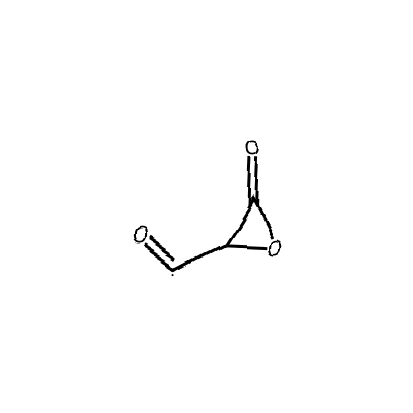 O=[C]C1OC1=O